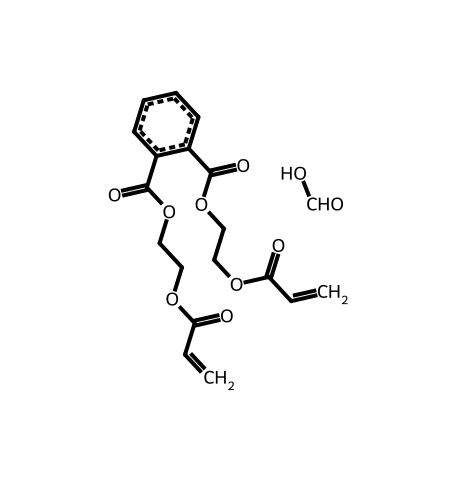 C=CC(=O)OCCOC(=O)c1ccccc1C(=O)OCCOC(=O)C=C.O=CO